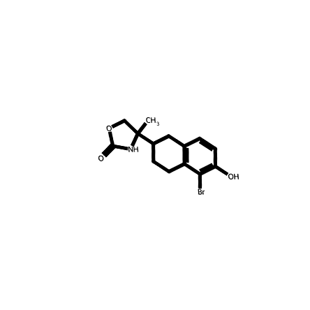 CC1(C2CCc3c(ccc(O)c3Br)C2)COC(=O)N1